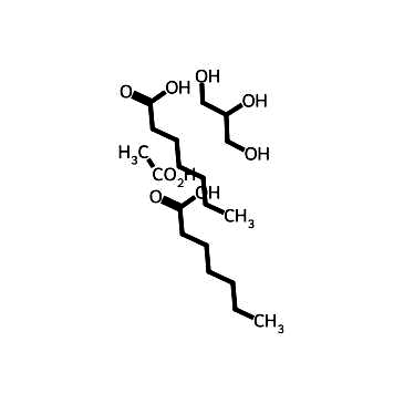 CC(=O)O.CCCCCCC(=O)O.CCCCCCC(=O)O.OCC(O)CO